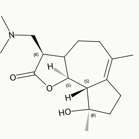 CC1=C2CC[C@@](C)(O)[C@@H]2[C@H]2OC(=O)[C@@H](CN(C)C)C2CC1